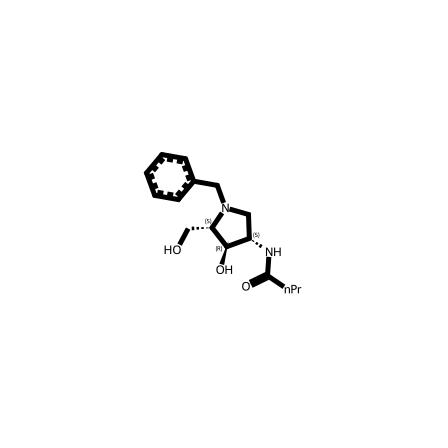 CCCC(=O)N[C@H]1CN(Cc2ccccc2)[C@@H](CO)[C@@H]1O